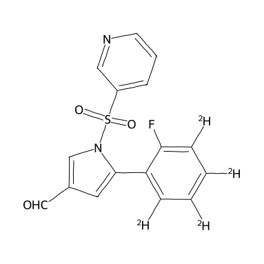 [2H]c1c([2H])c([2H])c(-c2cc(C=O)cn2S(=O)(=O)c2cccnc2)c(F)c1[2H]